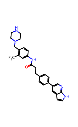 O=C(CCc1ccc(-c2cnc3[nH]ccc3c2)cc1)Nc1ccc(CN2CCNCC2)c(C(F)(F)F)c1